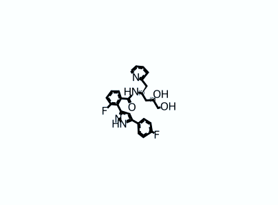 O=C(N[C@@H](Cc1ccccn1)C[C@H](O)CO)c1cccc(F)c1-c1cc(-c2ccc(F)cc2)[nH]n1